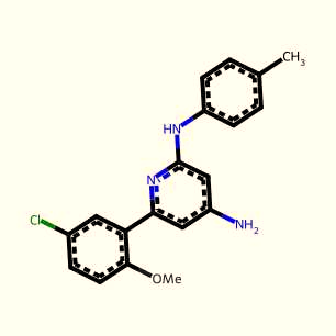 COc1ccc(Cl)cc1-c1cc(N)cc(Nc2ccc(C)cc2)n1